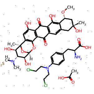 CC(=O)O.CO[C@@H]1C[C@](C)(O)Cc2cc3c(c(O)c21)C(=O)c1c(O)cc2c(c1C3=O)O[C@@H]1O[C@@]2(C)[C@H](O)[C@@H](N(C)C)[C@@H]1O.N[C@@H](Cc1ccc(N(CCCl)CCCl)cc1)C(=O)O.S